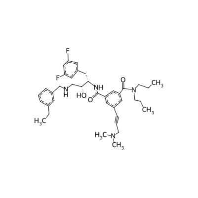 CCCN(CCC)C(=O)c1cc(C#CCN(C)C)cc(C(=O)N[C@@H](Cc2cc(F)cc(F)c2)[C@H](O)CNCc2cccc(CC)c2)c1